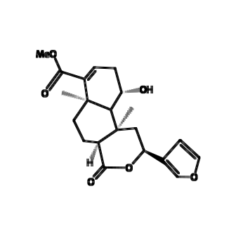 COC(=O)C1=CC[C@H](O)C2[C@@]1(C)CC[C@@H]1C(=O)O[C@H](c3ccoc3)C[C@]21C